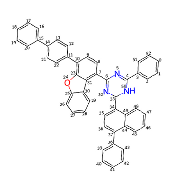 c1ccc(C2=NC(c3ccc(-c4ccc(-c5ccccc5)cc4)c4oc5ccccc5c34)=NC(c3ccc(-c4ccccc4)c4ccccc34)N2)cc1